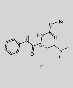 C[S+](C)CC[C@@H](NC(=O)OC(C)(C)C)C(=O)Nc1ccccc1.[I-]